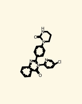 O=C1NCCCN1c1ccc(-c2nc3ccccc3c(=O)n2-c2ccc(Cl)cn2)cc1